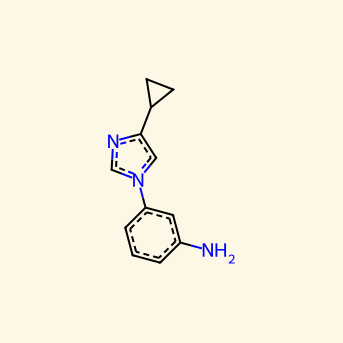 Nc1cccc(-n2cnc(C3CC3)c2)c1